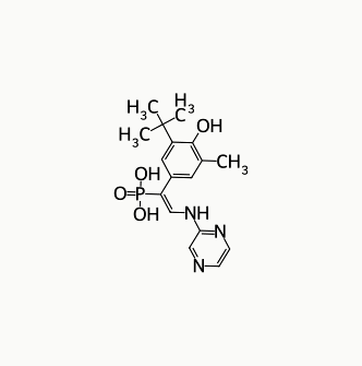 Cc1cc(/C(=C\Nc2cnccn2)P(=O)(O)O)cc(C(C)(C)C)c1O